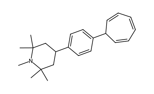 CN1C(C)(C)CC(c2ccc(C3C=CC=CC=C3)cc2)CC1(C)C